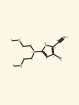 COCCN(CCOC)c1cc(Br)c(C#N)s1